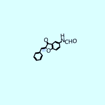 O=CNc1ccc2c(c1)C(=O)/C(=C/c1ccccc1)O2